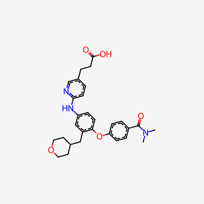 CN(C)C(=O)c1ccc(Oc2ccc(Nc3ccc(CCC(=O)O)cn3)cc2CC2CCOCC2)cc1